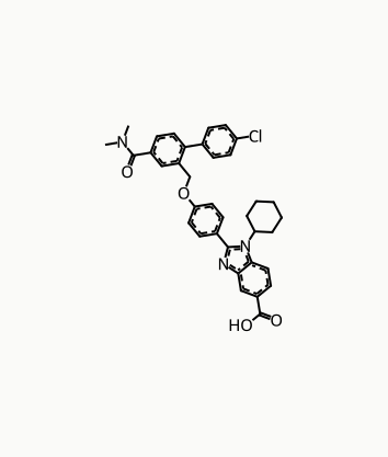 CN(C)C(=O)c1ccc(-c2ccc(Cl)cc2)c(COc2ccc(-c3nc4cc(C(=O)O)ccc4n3C3CCCCC3)cc2)c1